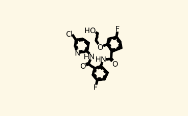 O=C(Nc1ccc(Cl)cn1)c1cc(F)ccc1NC(=O)c1ccc(F)cc1OCCO